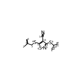 C=C(C)CSc1snc(SC(F)F)c1C#N